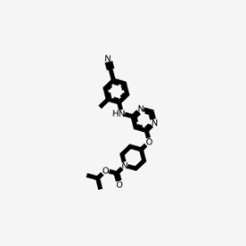 Cc1cc(C#N)ccc1Nc1cc(OC2CCN(C(=O)OC(C)C)CC2)ncn1